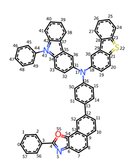 c1ccc(-c2nc3ccc4ccc(-c5ccc(N(c6ccc7sc8ccccc8c7c6)c6ccc7c(c6)c6ccccc6n7-c6ccccc6)cc5)cc4c3o2)cc1